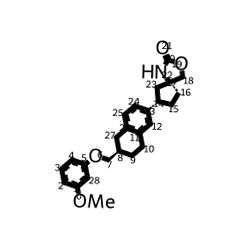 COc1cccc(OC[C@@H]2CCc3cc([C@H]4CC[C@]5(COC(=O)N5)C4)ccc3C2)c1